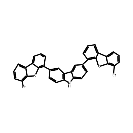 CCc1cccc2c1sc1c(-c3ccc4[nH]c5ccc(-c6cccc7c6sc6c(CC)cccc67)cc5c4c3)cccc12